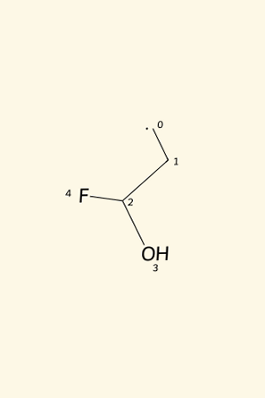 [CH2]CC(O)F